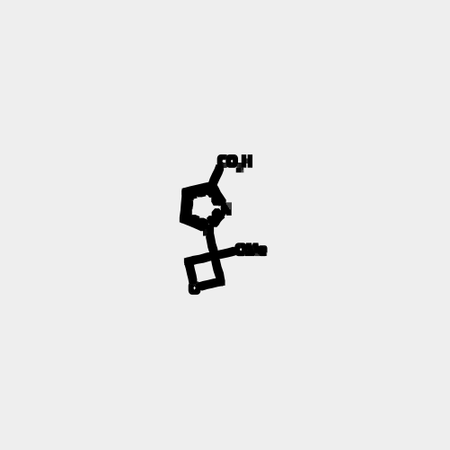 COC1(n2ccc(C(=O)O)n2)COC1